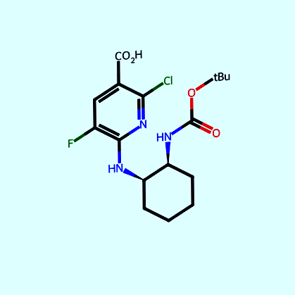 CC(C)(C)OC(=O)N[C@H]1CCCC[C@H]1Nc1nc(Cl)c(C(=O)O)cc1F